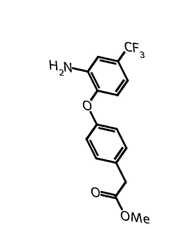 COC(=O)Cc1ccc(Oc2ccc(C(F)(F)F)cc2N)cc1